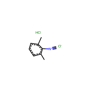 C#[N+]c1c(C)cccc1C.Cl.[Cl-]